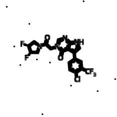 O=C(Cn1cnc2[nH]cc(-c3ccc(Cl)c(C(F)(F)F)c3)c2c1=O)N1C[C@@H](F)[C@@H](F)C1